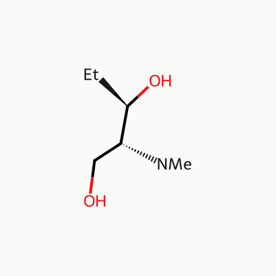 CC[C@@H](O)[C@@H](CO)NC